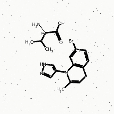 CC(C)[C@H](N)C(=O)O.CC1=CCc2ccc(Br)cc2N1c1cn[nH]c1